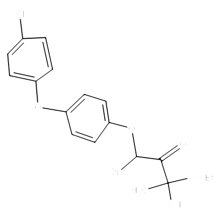 CCOC(=O)C(C)(C)C(=O)C(Br)Oc1ccc(Oc2ccc(Cl)cc2)cc1